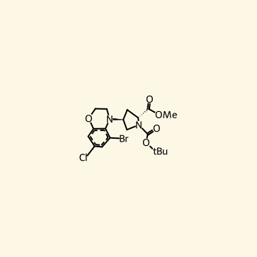 COC(=O)[C@H]1C[C@H](N2CCOc3cc(Cl)cc(Br)c32)CN1C(=O)OC(C)(C)C